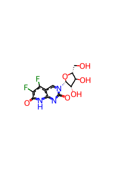 O=c1[nH]c2nc(=O)n([C@@H]3O[C@H](CO)C(O)[C@@H]3O)cc2c(F)c1F